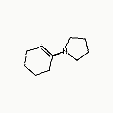 [C]1=C(N2CCCC2)CCCC1